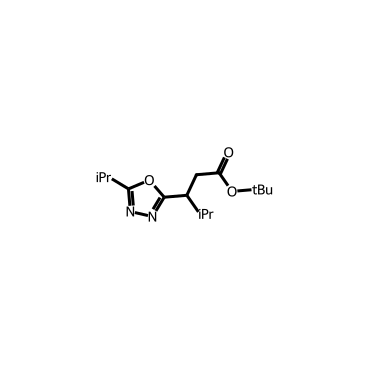 CC(C)c1nnc(C(CC(=O)OC(C)(C)C)C(C)C)o1